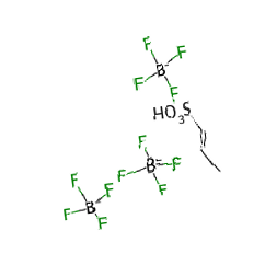 CC=CS(=O)(=O)O.F[B-](F)(F)F.F[B-](F)(F)F.F[B-](F)(F)F